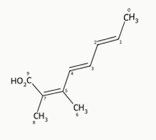 CC=CC=CC(C)=C(C)C(=O)O